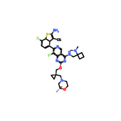 C[C@@H]1CN(CC2(COc3nc(NCC4(N(C)C)CCC4)c4cnc(C5=CC=C(F)C6SC(N)=C(C#N)C56)c(F)c4n3)CC2)CCO1